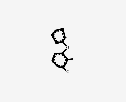 Fc1c(Cl)cccc1Oc1[c]cccc1